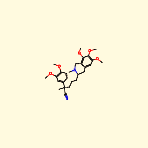 COc1ccc(C(C)(C#N)CCCC2Cc3cc(OC)c(OC)c(OC)c3CN2C)cc1OC